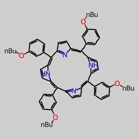 CCCCOc1cccc(-c2c3nc(c(-c4cccc(OCCCC)c4)c4ccc([nH]4)c(-c4cccc(OCCCC)c4)c4nc(c(-c5cccc(OCCCC)c5)c5ccc2[nH]5)C=C4)C=C3)c1